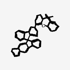 CC1(C)c2ccccc2Oc2c(-c3ccc4c(c3)-c3ccccc3C43c4ccccc4-c4cc5ccccc5cc43)cccc21